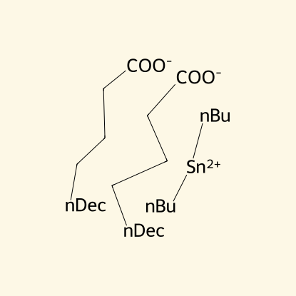 CCCCCCCCCCCCCC(=O)[O-].CCCCCCCCCCCCCC(=O)[O-].CCC[CH2][Sn+2][CH2]CCC